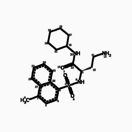 Cc1ccc(S(=O)(=O)N[C@@H](CCN)C(=O)NC2CCCCC2)c2ccccc12